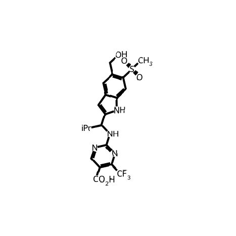 CC(C)C(Nc1ncc(C(=O)O)c(C(F)(F)F)n1)c1cc2cc(CO)c(S(C)(=O)=O)cc2[nH]1